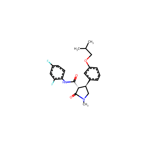 CC(C)COc1cccc([C@H]2CN(C)C(=O)[C@@H]2C(=O)Nc2ccc(F)cc2F)c1